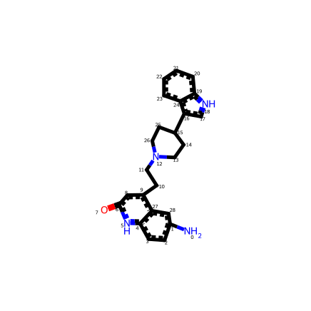 Nc1ccc2[nH]c(=O)cc(CCN3CCC(c4c[nH]c5ccccc45)CC3)c2c1